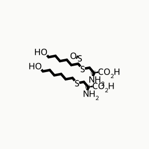 N[C@@H](CSCCCCCCO)C(=O)O.N[C@@H](CSCCCCCCO)C(=O)O.O=S